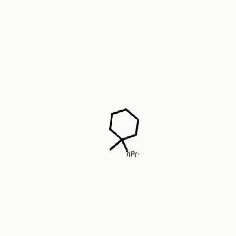 CC[CH]C1(C)CCCCC1